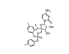 Cc1ccc(OP(=S)(OC[C@@]2(C(F)F)O[C@@H](n3ccc(N)nc3=O)[C@H](O)[C@H]2O)Oc2ccc(C)cc2)cc1